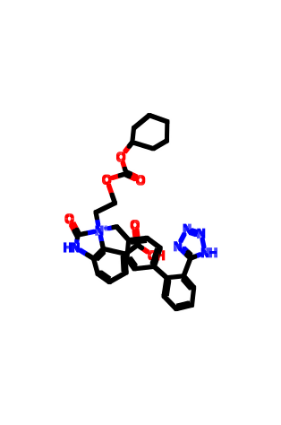 O=C(OCC[N+]1(Cc2ccc(-c3ccccc3-c3nnn[nH]3)cc2)C(=O)Nc2cccc(C(=O)O)c21)OC1CCCCC1